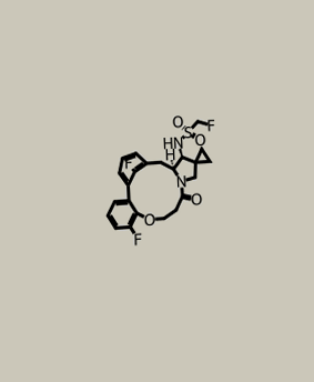 O=C1CCOc2c(F)cccc2-c2cccc(c2F)C[C@H]2[C@@H](NS(=O)(=O)CF)C3(CC3)CN12